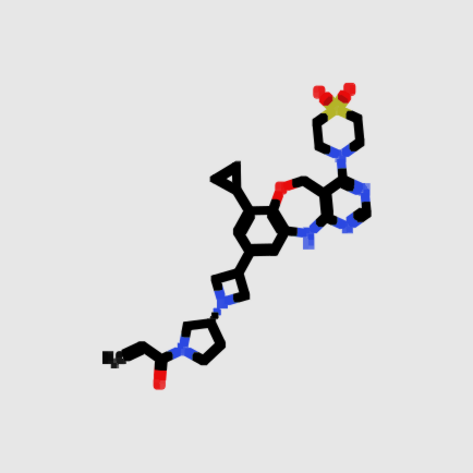 C=CC(=O)N1CC[C@@H](N2CC(c3cc4c(c(C5CC5)c3)OCc3c(ncnc3N3CCS(=O)(=O)CC3)N4)C2)C1